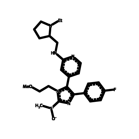 CCN1CCCC1CNc1cc(-c2c(-c3ccc(F)cc3)nc([S+](C)[O-])n2CCOC)ccn1